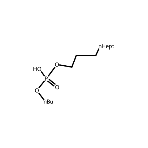 CCCCCCCCCCOP(=O)(O)OCCCC